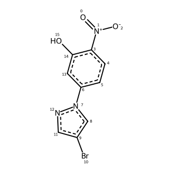 O=[N+]([O-])c1ccc(-n2cc(Br)cn2)cc1O